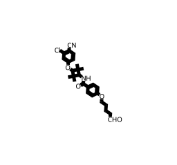 CC1(C)C(NC(=O)c2ccc(OCCCCC=O)cc2)C(C)(C)C1Oc1ccc(C#N)c(Cl)c1